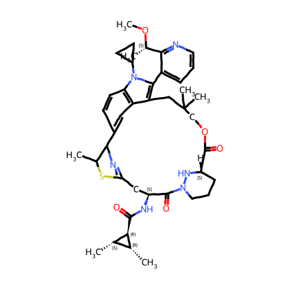 CO[C@@H](C)c1ncccc1-c1c2c3cc(ccc3n1C1CC1)C1N=C(C[C@H](NC(=O)[C@H]3[C@H](C)[C@@H]3C)C(=O)N3CCC[C@H](N3)C(=O)OCC(C)(C)C2)SC1C